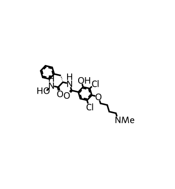 CNCCCCOc1c(Cl)cc(C(=O)N[C@@H](Cc2ccccc2)C(=O)NO)c(O)c1Cl